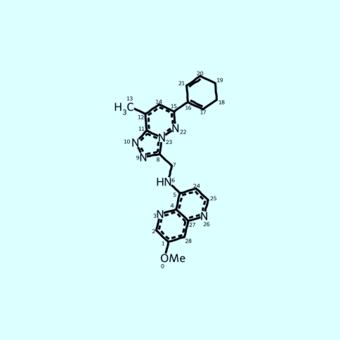 COc1cnc2c(NCc3nnc4c(C)cc(C5=CCCC=C5)nn34)ccnc2c1